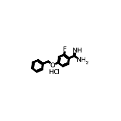 Cl.N=C(N)c1ccc(OCc2ccccc2)cc1F